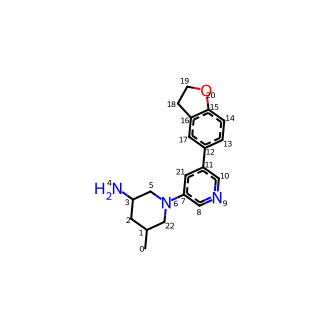 CC1CC(N)CN(c2cncc(-c3ccc4c(c3)CCO4)c2)C1